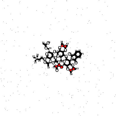 CC(=O)OC[C@H]1O[C@@H](O[C@H]2[C@H](OC(C)=O)[C@@H](OC(C)=O)[C@H](OCC[Si](C)(C)C)O[C@@H]2COC(C)=O)[C@H](OC(C)=O)[C@@H](OC(C)=O)[C@H]1O[C@@H]1O[C@H](COC(C)=O)[C@H](OC(C)=O)[C@H](OC(C)=O)[C@H]1N1C(=O)c2ccccc2C1=O